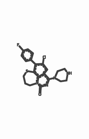 O=c1nc(N2CCNCC2)c2cc(Cl)c(-c3ccc(F)cc3)c3c2n1CCCS3